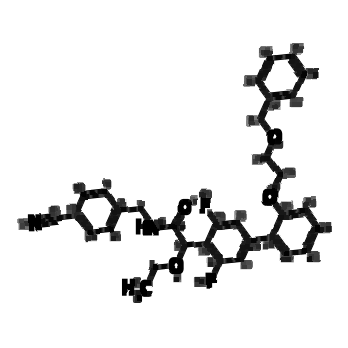 CCOC(C(=O)NCc1ccc(C#N)cc1)c1c(F)cc(-c2ccccc2OCCOCc2ccccc2)cc1F